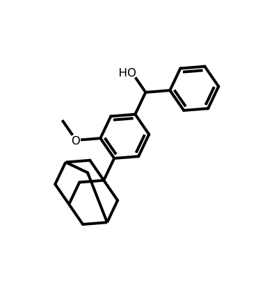 COc1cc(C(O)c2ccccc2)ccc1C12CC3CC(CC(C3)C1)C2